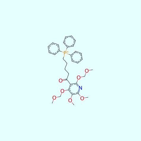 COCOc1nc(OC)c(OC)c(OCOC)c1C(=O)CCCC[P+](c1ccccc1)(c1ccccc1)c1ccccc1